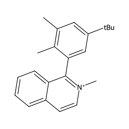 Cc1cc(C(C)(C)C)cc(-c2c3ccccc3cc[n+]2C)c1C